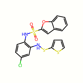 O=S(=O)(Nc1ccc(Cl)cc1NSc1cccs1)c1cc2ccccc2o1